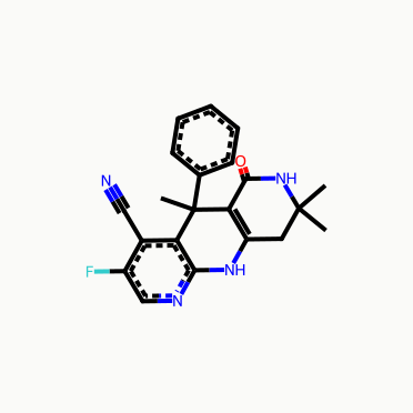 CC1(C)CC2=C(C(=O)N1)C(C)(c1ccccc1)c1c(ncc(F)c1C#N)N2